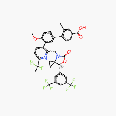 COc1ccc(-c2ccc(C(=O)O)cc2C)cc1-c1ccc(C(C)(F)F)nc1CN1C(=O)O[C@H](c2cc(C(F)(F)F)cc(C(F)(F)F)c2)C12CC2